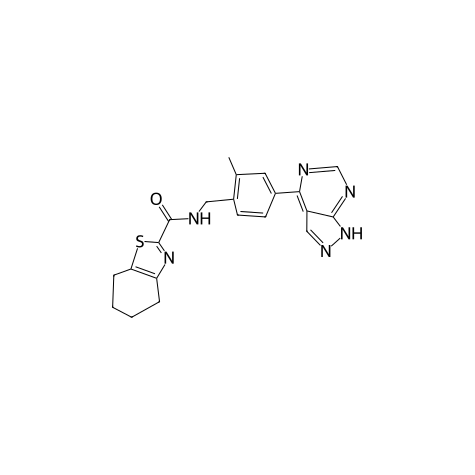 Cc1cc(-c2ncnc3[nH]ncc23)ccc1CNC(=O)c1nc2c(s1)CCCC2